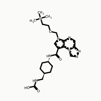 C[Si](C)(C)CCOCn1cc(C(=O)N[C@H]2CC[C@H](CNC(=O)O)CC2)c2c1ncc1nncn12